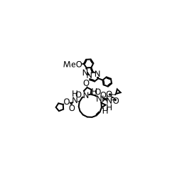 COc1cccc2c1nn1c(O[C@@H]3C[C@H]4C(=O)N[C@]5(C(=O)NS(=O)(=O)C6CC6)C[C@H]5/C=C\CCCCC[C@H](NC(=O)OC5CCCC5)C(=O)N4C3)cc(-c3ccccc3)nc21